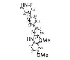 COc1ccc(Nc2nccc(-c3ccc(N4CCNCC4)nc3)n2)c(OC)c1